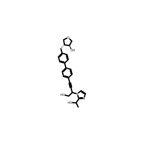 CC(O)c1nccn1C(C#Cc1ccc(-c2ccc(C[C@@H]3COC[C@H]3O)cc2)cc1)CO